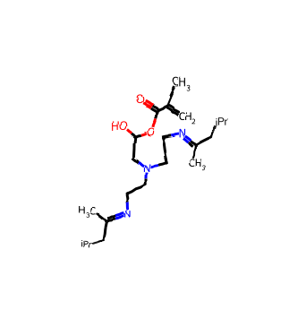 C=C(C)C(=O)OC(O)CN(CC/N=C(\C)CC(C)C)CC/N=C(\C)CC(C)C